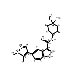 Cc1c(-c2ccc3[nH]nc(C(=O)NC4CCC(F)(F)CC4)c3c2)cnn1C